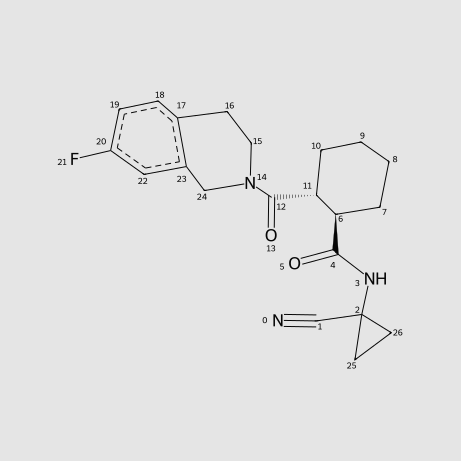 N#CC1(NC(=O)[C@@H]2CCCC[C@H]2C(=O)N2CCc3ccc(F)cc3C2)CC1